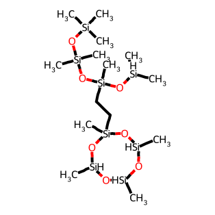 C[SiH](C)O[Si](C)(CC[Si]1(C)O[SiH](C)O[SiH](C)O[SiH](C)O1)O[Si](C)(C)O[Si](C)(C)C